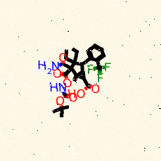 CCC1(CC)C(c2ccccc2C(F)(F)F)C2C(C(=O)O)C2(C)C1(C(N)=O)C(=O)ONC(=O)OC(C)(C)C